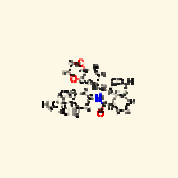 CC(C)(C#N)c1ccc(N2C(=O)c3ccccc3C(C(=O)O)C2c2ccc3c(c2)OCCO3)cc1